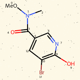 CON(C)C(=O)c1cnc(O)c(Br)c1